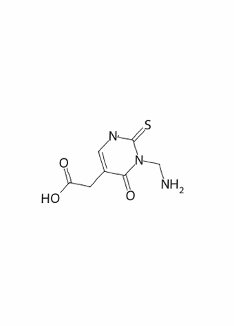 NCN1C(=O)C(CC(=O)O)=C[N]C1=S